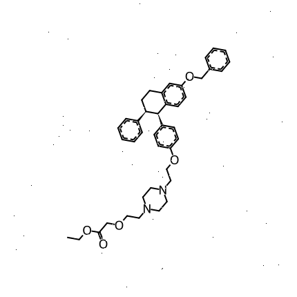 CCOC(=O)COCCN1CCN(CCOc2ccc([C@@H]3c4ccc(OCc5ccccc5)cc4CC[C@@H]3c3ccccc3)cc2)CC1